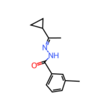 C/C(=N\NC(=O)c1cccc(C)c1)C1CC1